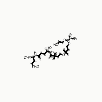 CC(C)N(C(C)C)P(OCCC#N)OCCC(C)(C)OCCC(C)(C)C(=O)N[C@H](C=O)CCC(=O)N[C@H](C=O)CCC=O